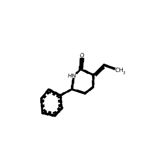 C/C=C1\CCC(c2ccccc2)NC1=O